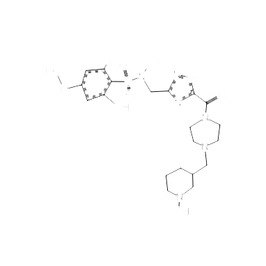 COc1cc(C)c(S(=O)(=O)N(C)Cc2noc(C(=O)N3CCN(CC4CCCN(C)C4)CC3)n2)c(C)c1